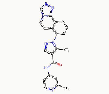 O=C(Nc1ccnc(C(F)(F)F)c1)c1cnn(-c2cccc3c2ccn2cnnc32)c1C(F)(F)F